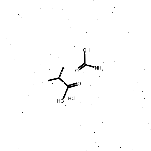 CC(C)C(=O)O.Cl.NC(=O)O